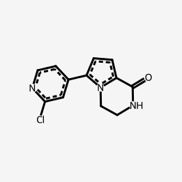 O=C1NCCn2c1ccc2-c1ccnc(Cl)c1